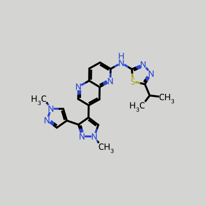 CC(C)c1nnc(Nc2ccc3ncc(-c4cn(C)nc4-c4cnn(C)c4)cc3n2)s1